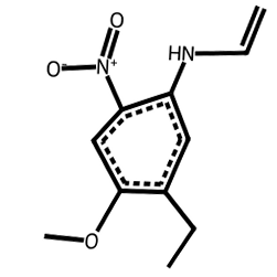 C=CNc1cc(CC)c(OC)cc1[N+](=O)[O-]